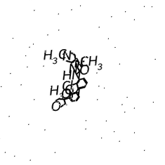 Cc1c(-c2cccc(NC(=O)c3nc4c(n3C)CCN(C)C4)c2Cl)cccc1C1(O)CCOCC1